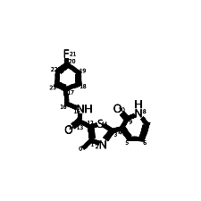 Cc1nc(-c2ccc[nH]c2=O)sc1C(=O)NCc1ccc(F)cc1